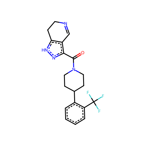 O=C(c1n[nH]c2c1C=NCC2)N1CCC(c2ccccc2C(F)(F)F)CC1